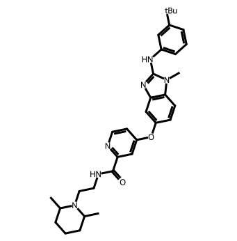 CC1CCCC(C)N1CCNC(=O)c1cc(Oc2ccc3c(c2)nc(Nc2cccc(C(C)(C)C)c2)n3C)ccn1